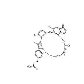 Cn1nc2nc1-c1cc(ccc1F)Oc1c(F)cc3[nH]ccc3c1COC(=O)NC(C)(C)COCCC2(C)c1cccc(CCC(=O)O)c1